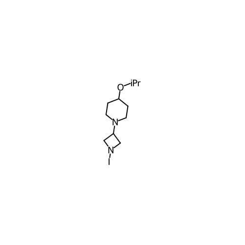 CC(C)OC1CCN(C2CN(I)C2)CC1